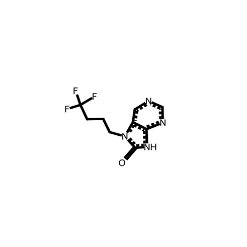 O=c1[nH]c2ncncc2n1CCCC(F)(F)F